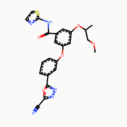 COCC(C)Oc1cc(Oc2cccc(-c3nnc(C#N)o3)c2)cc(C(=O)Nc2nccs2)c1